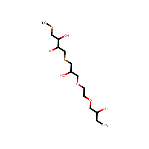 CCC(O)COCCOCC(O)CSCC(O)C(O)CSC